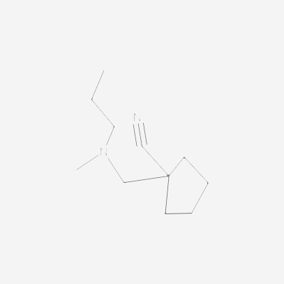 CCCN(C)CC1(C#N)CCCC1